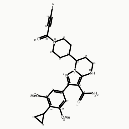 COc1cc(-c2nn3c(c2C(N)=O)NCCC3C2CCN(C(=O)C#CI)CC2)cc(OC)c1C1CC1